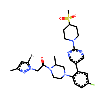 CCc1cc(C)nn1CC(=O)N1CCN(c2ccc(F)cc2-c2cnc(N3CCC(S(C)(=O)=O)CC3)nc2)CC1C